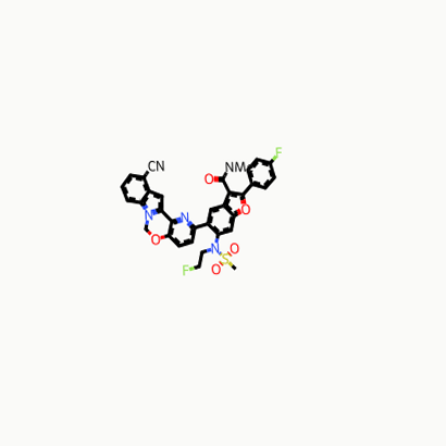 CNC(=O)c1c(-c2ccc(F)cc2)oc2cc(N(CCF)S(C)(=O)=O)c(-c3ccc4c(n3)-c3cc5c(C#N)cccc5n3CO4)cc12